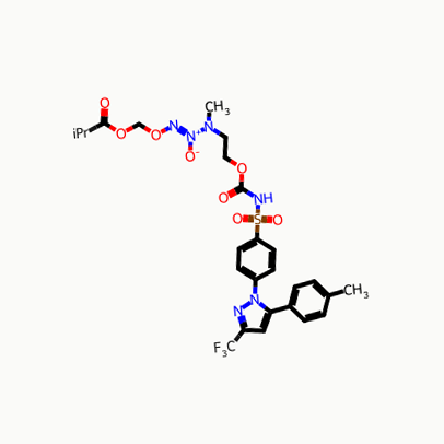 Cc1ccc(-c2cc(C(F)(F)F)nn2-c2ccc(S(=O)(=O)NC(=O)OCCN(C)/[N+]([O-])=N/OCOC(=O)C(C)C)cc2)cc1